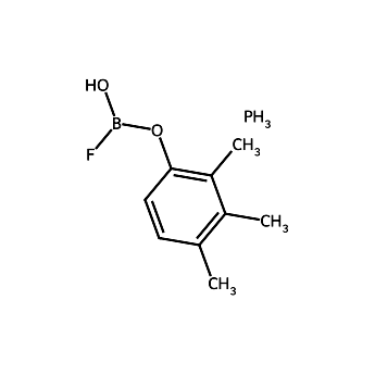 Cc1ccc(OB(O)F)c(C)c1C.P